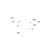 CC(C)(ON=C(C(=O)N[C@@H]1C(=O)N(S(=O)(=O)O)[C@H]1CNC(=O)c1cc(=O)c(O)c[nH]1)c1csc(N)n1)C(=O)O